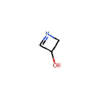 OC1[C]=NC1